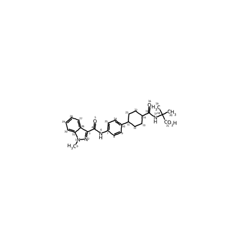 Cn1nc(C(=O)Nc2ccc(C3CCC(C(=O)NC(C)(C)C(=O)O)CC3)cc2)c2ccccc21